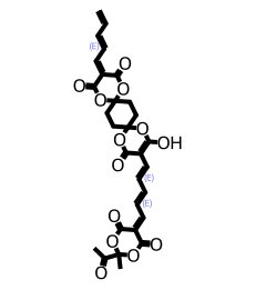 C=C/C=C/C=C1C(=O)OC2(CCC3(CC2)OC(=O)C(/C=C/C=C/C=C2C(=O)OC(C)(C(C)=O)OC2=O)=C(O)O3)OC1=O